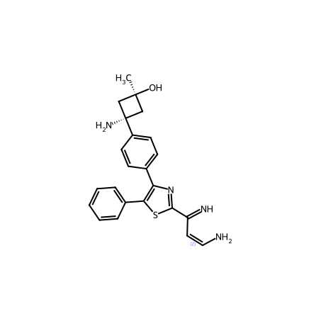 C[C@]1(O)C[C@@](N)(c2ccc(-c3nc(C(=N)/C=C\N)sc3-c3ccccc3)cc2)C1